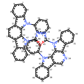 c1ccc(-n2c3ccccc3c3ccc4c5ccccc5n(-c5nnc(-n6c7ccccc7c7ncc8c9ccccc9n(-c9ccccc9)c8c76)o5)c4c32)cc1